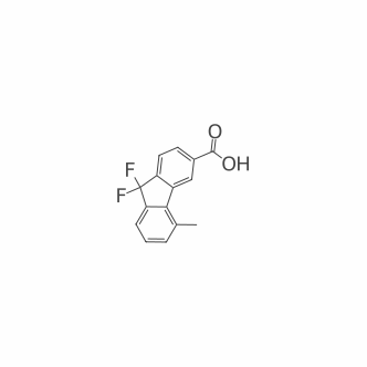 Cc1cccc2c1-c1cc(C(=O)O)ccc1C2(F)F